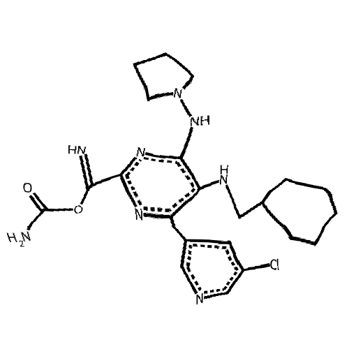 N=C(OC(N)=O)c1nc(NN2CCCC2)c(NCC2CCCCC2)c(-c2cncc(Cl)c2)n1